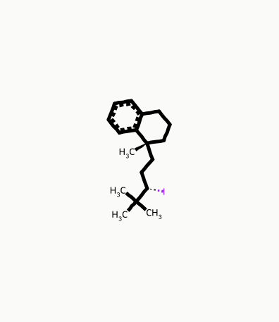 CC(C)(C)[C@@H](I)CC[C@@]1(C)CCCc2ccccc21